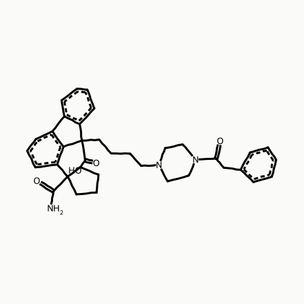 NC(=O)C1(c2cccc3c2C(CCCCN2CCN(C(=O)Cc4ccccc4)CC2)(C(=O)O)c2ccccc2-3)CCCC1